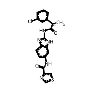 C[C@@H](C(=O)Nc1nc2ccc(NC(=O)c3cscn3)cc2[nH]1)c1cccc(Cl)c1